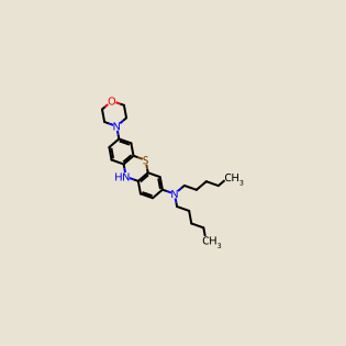 CCCCCN(CCCCC)c1ccc2c(c1)Sc1cc(N3CCOCC3)ccc1N2